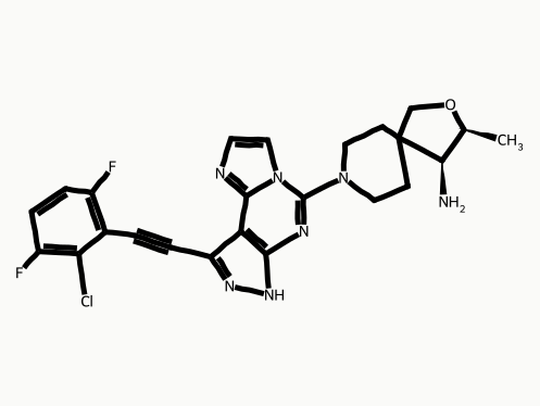 C[C@@H]1OCC2(CCN(c3nc4[nH]nc(C#Cc5c(F)ccc(F)c5Cl)c4c4nccn34)CC2)[C@@H]1N